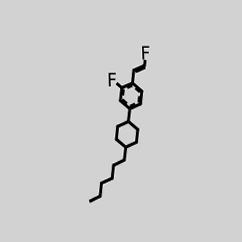 CCCCCCC1CCC(c2ccc(C=CF)c(F)c2)CC1